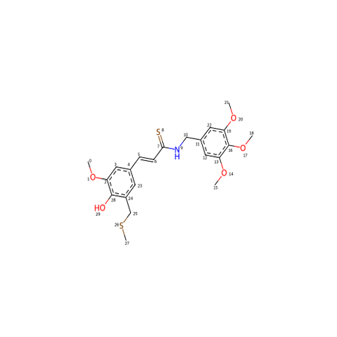 COc1cc(/C=C/C(=S)NCc2cc(OC)c(OC)c(OC)c2)cc(CSC)c1O